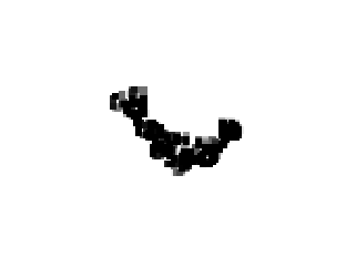 O=C(CSc1nc(-c2cccc(NCc3cccnc3)c2)cs1)NC1CCN(Cc2ccc(Cl)c(Cl)c2)CC1